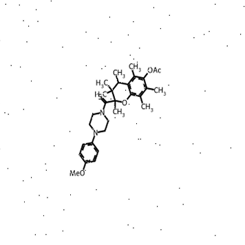 COc1ccc(N2CCN(C(=S)C3(C)Oc4c(C)c(C)c(OC(C)=O)c(C)c4C(C)C3(C)C)CC2)cc1